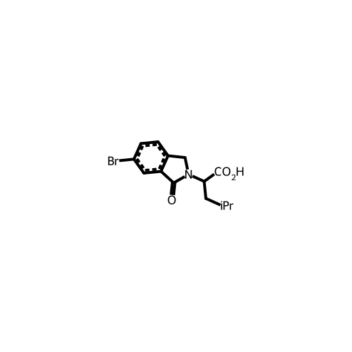 CC(C)CC(C(=O)O)N1Cc2ccc(Br)cc2C1=O